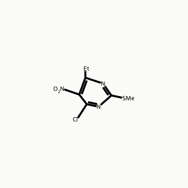 CCc1nc(SC)nc(Cl)c1[N+](=O)[O-]